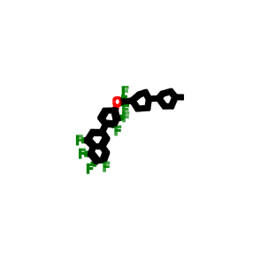 CC1CCC(C2CCC(C(F)(F)Oc3ccc(-c4cc(F)c5c(F)c(F)c(F)cc5c4)c(F)c3F)CC2)CC1